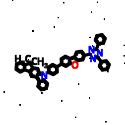 CC1(C)c2ccccc2-c2cc3c4ccccc4n(-c4ccc(-c5ccc6c(c5)oc5cc(-c7nc(-c8ccccc8)nc(-c8ccccc8)n7)ccc56)cc4)c3cc21